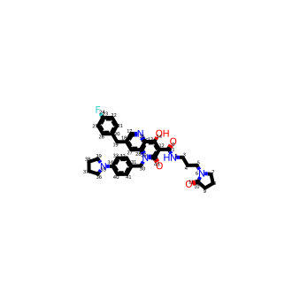 O=C(NCCCN1CCCC1=O)c1c(O)c2ncc(Cc3ccc(F)cc3)cc2n(Cc2ccc(N3CCCC3)cc2)c1=O